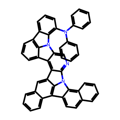 c1ccc(N(c2ccccc2)c2cccc3c4cccc5c6c7c8cc9ccccc9c9c%10ccc%11ccccc%11c%10n(c7ncc6n(c23)c45)c89)cc1